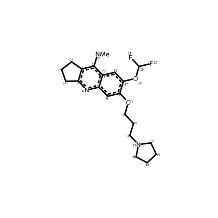 CNc1c2c(nc3cc(OCCCN4CCCC4)c(OC(F)F)cc13)CCC2